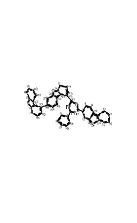 c1ccc(-c2nc(-c3ccc4c(c3)sc3ccccc34)nc(-c3cccc4oc5cc(-c6cccc7sc8ccccc8c67)ccc5c34)n2)cc1